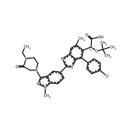 CCN1CCN(c2nn(C)c3ccc(-c4nc5cc(C)c([C@H](OC(C)(C)C)C(=O)O)c(-c6ccc(Cl)cc6)c5s4)cc23)CC1=O